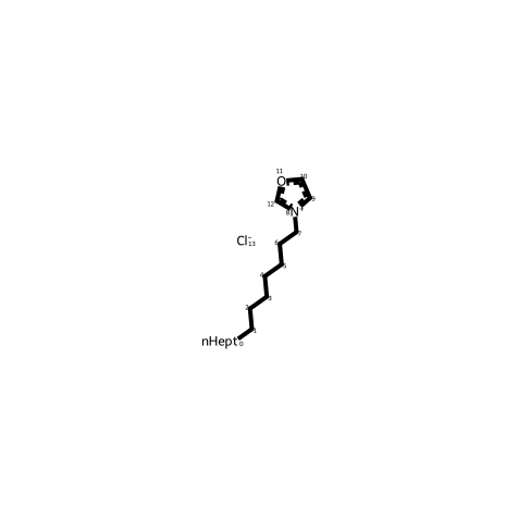 CCCCCCCCCCCCCC[n+]1ccoc1.[Cl-]